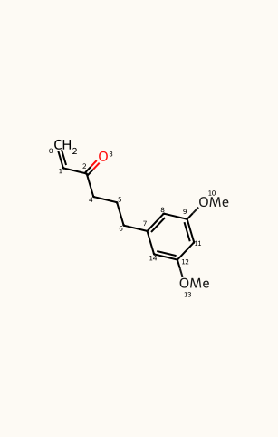 C=CC(=O)CCCc1cc(OC)cc(OC)c1